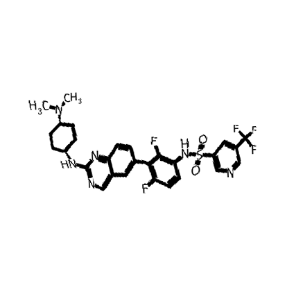 CN(C)[C@H]1CC[C@@H](Nc2ncc3cc(-c4c(F)ccc(NS(=O)(=O)c5cncc(C(F)(F)F)c5)c4F)ccc3n2)CC1